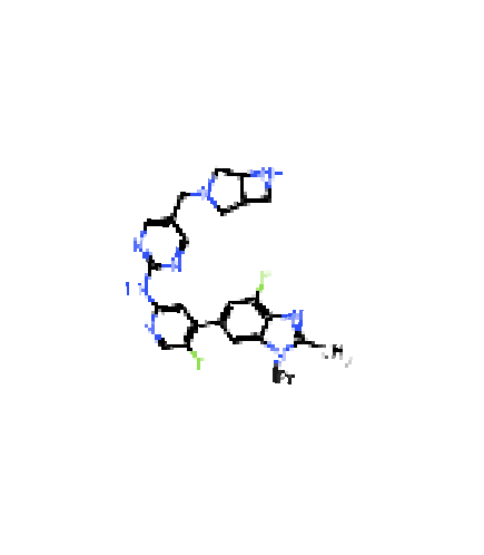 Cc1nc2c(F)cc(-c3cc(Nc4ncc(CN5CC6CNC6C5)cn4)ncc3F)cc2n1C(C)C